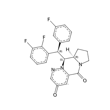 O=C1c2[c]c(=O)cnn2[C@@H]([C@H](c2cccc(F)c2)c2cccc(F)c2F)[C@H]2CCCN12